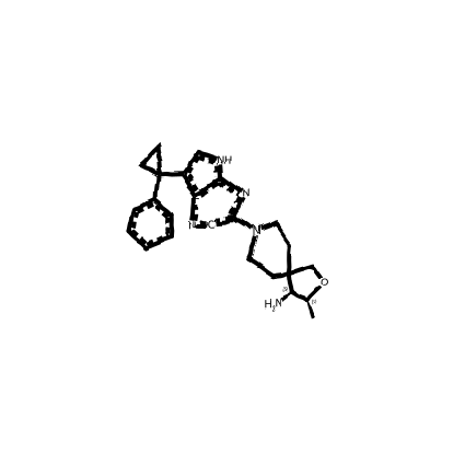 C[C@@H]1OCC2(CCN(c3cnc4c(C5(c6ccccc6)CC5)c[nH]c4n3)CC2)[C@@H]1N